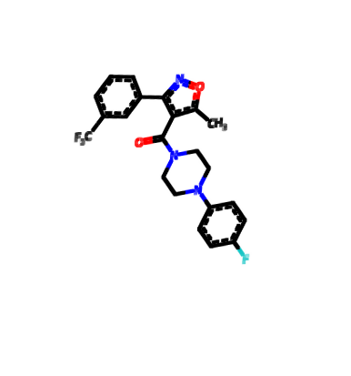 Cc1onc(-c2cccc(C(F)(F)F)c2)c1C(=O)N1CCN(c2ccc(F)cc2)CC1